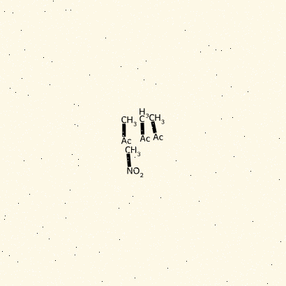 CC(C)=O.CC(C)=O.CC(C)=O.C[N+](=O)[O-]